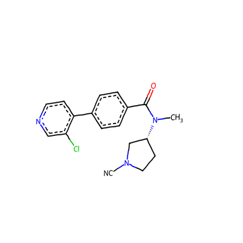 CN(C(=O)c1ccc(-c2ccncc2Cl)cc1)[C@@H]1CCN(C#N)C1